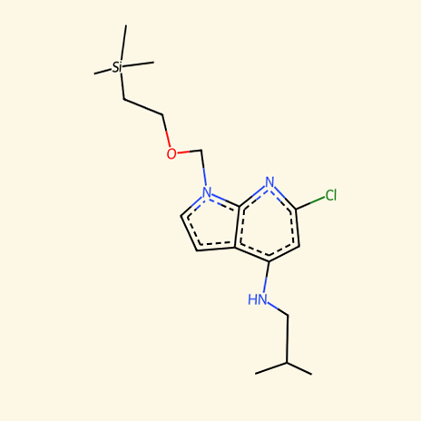 CC(C)CNc1cc(Cl)nc2c1ccn2COCC[Si](C)(C)C